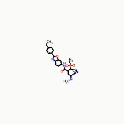 C=C(/C(=C\C(C#N)=N/C)C(=O)Nc1ccc2nc(-c3ccc(CC)cc3)oc2c1)S(C)(=O)=O